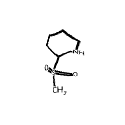 CS(=O)(=O)C1CCCCN1